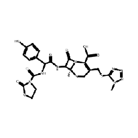 Cn1nnnc1SCC1=C(C(=O)O)N2C(=O)C(NC(=O)C(NC(=O)N3CCOC3=O)c3ccc(O)cc3)[C@@H]2SC1